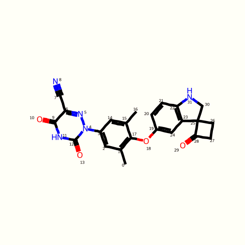 Cc1cc(-n2nc(C#N)c(=O)[nH]c2=O)cc(C)c1Oc1ccc2c(c1)C1(CCC1=O)CN2